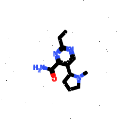 CCc1ncc(C2CCCN2C)c(C(N)=O)n1